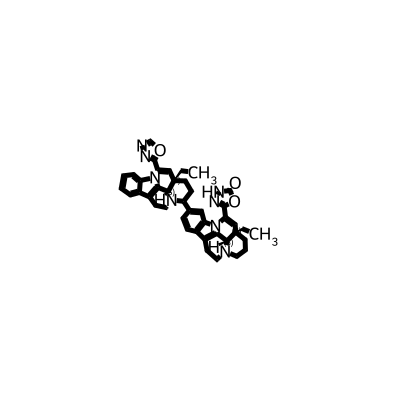 CC[C@@]12C=C(c3n[nH]c(=O)o3)n3c4c(c5ccc(C6CC[C@@]7(CC)C=C(c8nnco8)n8c9c(c%10ccccc%108)CCN6[C@H]97)cc53)CCN(CCC1)[C@H]42